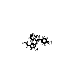 CCCC1CC(=O)N(Cc2c(-c3ccc(Cl)cc3)nc3ncccn23)C1